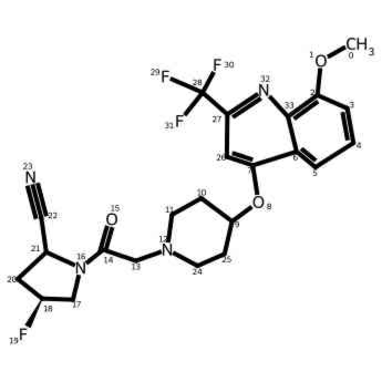 COc1cccc2c(OC3CCN(CC(=O)N4C[C@@H](F)CC4C#N)CC3)cc(C(F)(F)F)nc12